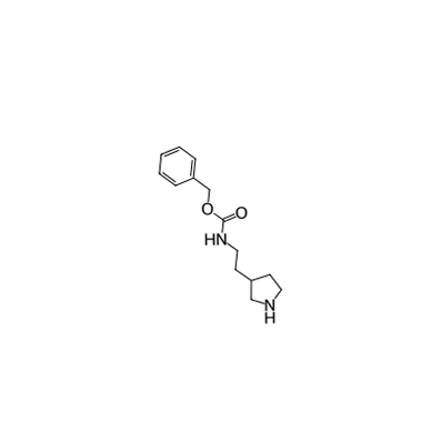 O=C(NCCC1CCNC1)OCc1ccccc1